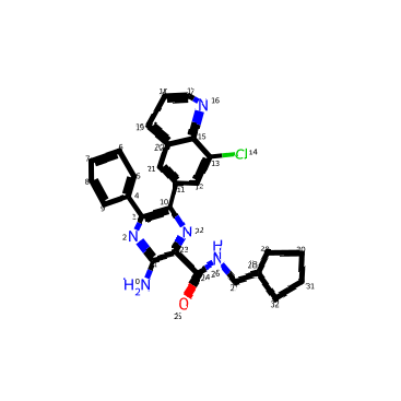 Nc1nc(-c2ccccc2)c(-c2cc(Cl)c3ncccc3c2)nc1C(=O)NCC1CCCC1